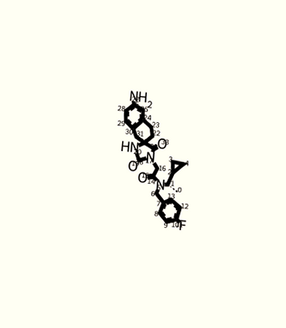 C[C@@H](C1CC1)N(Cc1ccc(F)cc1)C(=O)CN1C(=O)NC2(CCc3cc(N)ccc3C2)C1=O